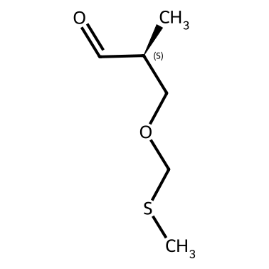 CSCOC[C@H](C)C=O